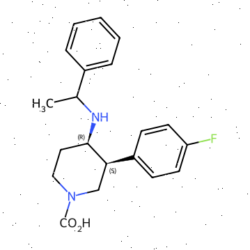 CC(N[C@@H]1CCN(C(=O)O)C[C@@H]1c1ccc(F)cc1)c1ccccc1